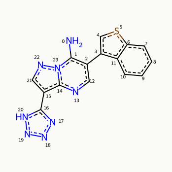 Nc1c(-c2csc3ccccc23)cnc2c(-c3nnn[nH]3)cnn12